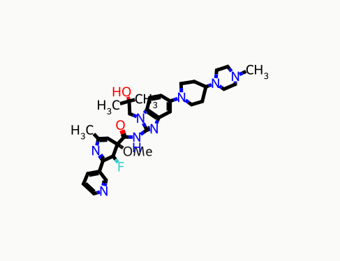 COC1(C(=O)Nc2nc3cc(N4CCC(N5CCN(C)CC5)CC4)ccc3n2CC(C)(C)O)C=C(C)N=C(c2cccnc2)C1F